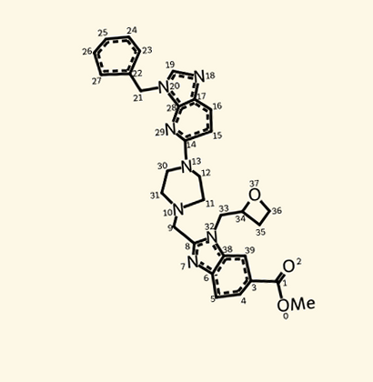 COC(=O)c1ccc2nc(CN3CCN(c4ccc5ncn(Cc6ccccc6)c5n4)CC3)n(CC3CCO3)c2c1